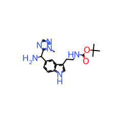 Cn1ncnc1C(N)c1ccc2[nH]cc(CCNC(=O)OC(C)(C)C)c2c1